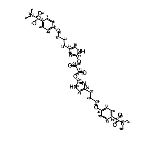 CN(C)S(=O)(=O)c1ccc(OCCCc2c[nH]c(OC(=O)C(=O)Oc3nc(CCCOc4ccc(S(=O)(=O)N(C)C)cc4)c[nH]3)n2)cc1